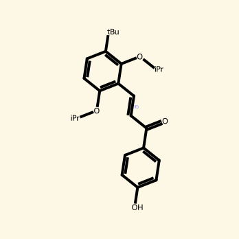 CC(C)Oc1ccc(C(C)(C)C)c(OC(C)C)c1/C=C/C(=O)c1ccc(O)cc1